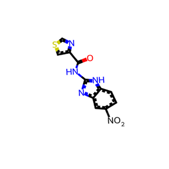 O=C(Nc1nc2cc([N+](=O)[O-])ccc2[nH]1)c1cscn1